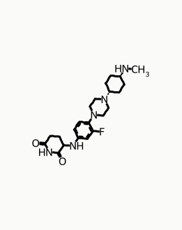 CN[C@H]1CC[C@H](N2CCN(c3ccc(NC4CCC(=O)NC4=O)cc3F)CC2)CC1